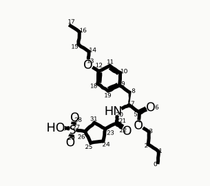 CCCCOC(=O)[C@H](Cc1ccc(OCCCC)cc1)NC(=O)C1CCC(S(=O)(=O)O)C1